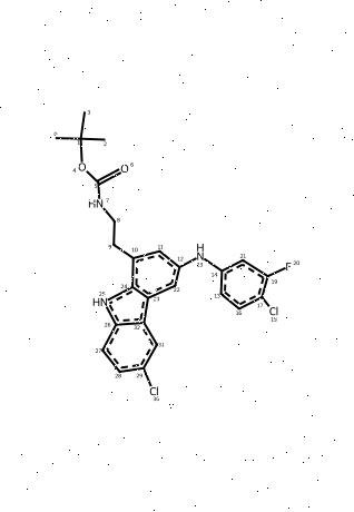 CC(C)(C)OC(=O)NCCc1cc(Nc2ccc(Cl)c(F)c2)cc2c1[nH]c1ccc(Cl)cc12